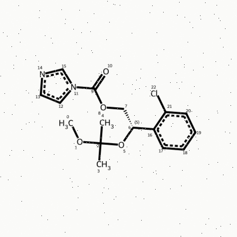 COC(C)(C)O[C@H](COC(=O)n1ccnc1)c1ccccc1Cl